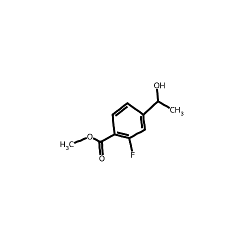 COC(=O)c1ccc(C(C)O)cc1F